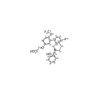 O=C(O)COc1ccc(OC(F)(F)F)c(-c2ccc(F)c3c2CN(C(=O)O)CC3)c1.c1ccccc1